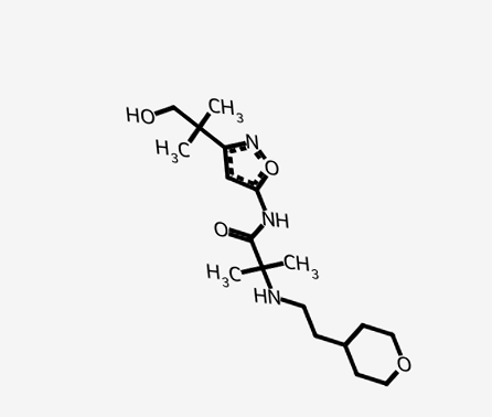 CC(C)(NCCC1CCOCC1)C(=O)Nc1cc(C(C)(C)CO)no1